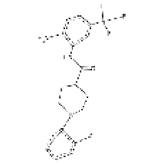 Nc1ccc(C(F)(F)F)cc1NC(=O)C1CCN(c2ncccc2Cl)CC1